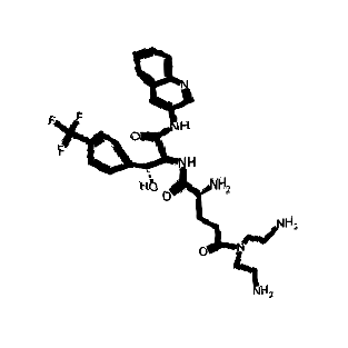 NCCN(CCN)C(=O)CC[C@H](N)C(=O)NC(C(=O)Nc1cnc2ccccc2c1)[C@H](O)c1ccc(C(F)(F)F)cc1